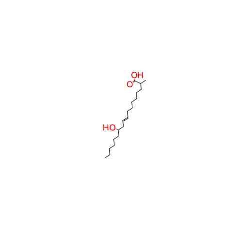 CCCCCCC(O)C/C=C/CCCCCCC(C)C(=O)O